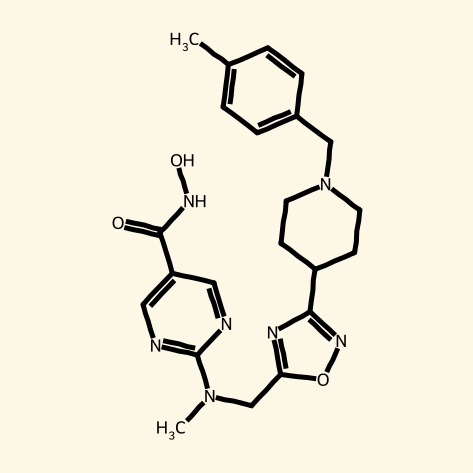 Cc1ccc(CN2CCC(c3noc(CN(C)c4ncc(C(=O)NO)cn4)n3)CC2)cc1